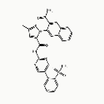 Cc1cc(C(=O)Nc2ncc(-c3ccccc3S(N)(=O)=O)cn2)n(-c2cc3ccccc3cc2C(N)=O)n1